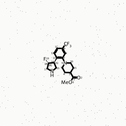 COC(=O)C1CCN(c2cc(C(F)(F)F)ccc2[C@H]2CNC[C@@H]2F)CC1